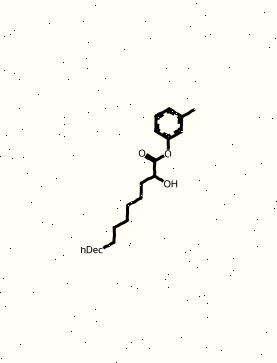 CCCCCCCCCCCCCCCCC(O)C(=O)Oc1cccc(C)c1